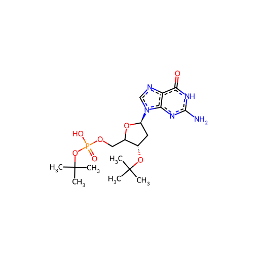 CC(C)(C)O[C@H]1C[C@H](n2cnc3c(=O)[nH]c(N)nc32)OC1COP(=O)(O)OC(C)(C)C